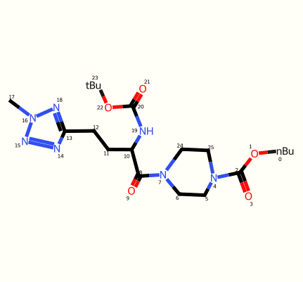 CCCCOC(=O)N1CCN(C(=O)C(CCc2nnn(C)n2)NC(=O)OC(C)(C)C)CC1